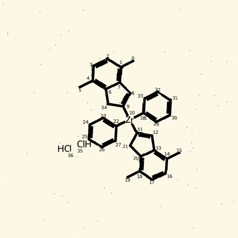 Cc1ccc(C)c2c1C=[C]([Zr]([C]1=Cc3c(C)ccc(C)c3C1)([c]1ccccc1)[c]1ccccc1)C2.Cl.Cl